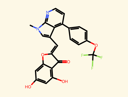 Cn1cc(/C=C2\Oc3cc(O)cc(O)c3C2=O)c2c(-c3ccc(OC(F)(F)F)cc3)ccnc21